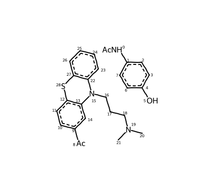 CC(=O)Nc1ccc(O)cc1.CC(=O)c1ccc2c(c1)N(CCCN(C)C)c1ccccc1S2